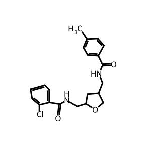 Cc1ccc(C(=O)NCC2COC(CNC(=O)c3ccccc3Cl)C2)cc1